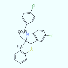 CC1(CC(=O)O)C(Sc2ccccc2)c2cc(F)ccc2N1Cc1ccc(Cl)cc1